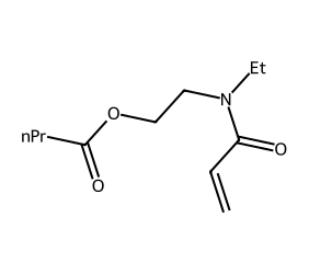 C=CC(=O)N(CC)CCOC(=O)CCC